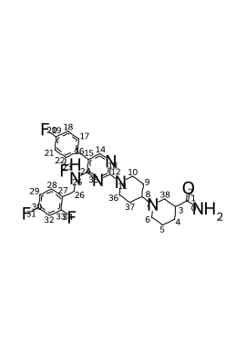 NC(=O)C1CCCN(C2CCN(c3ncc(-c4ccc(F)cc4F)c(NCc4ccc(F)cc4F)n3)CC2)C1